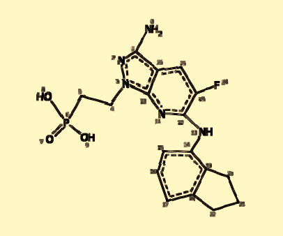 Nc1nn(CCP(=O)(O)O)c2nc(Nc3cccc4c3CCC4)c(F)cc12